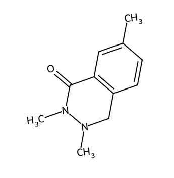 Cc1ccc2c(c1)C(=O)N(C)N(C)C2